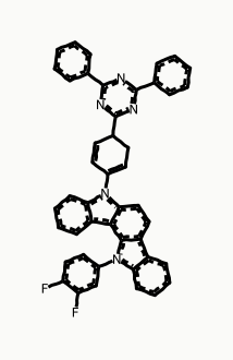 Fc1ccc(-n2c3ccccc3c3ccc4c(c5ccccc5n4C4=CCC(c5nc(-c6ccccc6)nc(-c6ccccc6)n5)C=C4)c32)cc1F